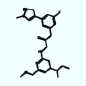 CCC(C)C1C=C(COC)N=C(NCC(=O)Cc2cc(F)cc(C3=CN(C)NC3)c2)C1